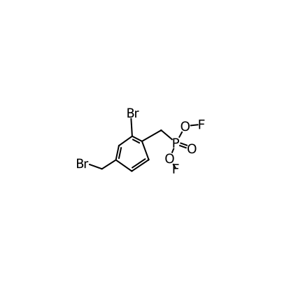 O=P(Cc1ccc(CBr)cc1Br)(OF)OF